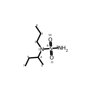 CCCN(C(C)CC)S(N)(=O)=O